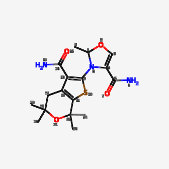 CC1OC=C(C(N)=O)N1c1sc2c(c1C(N)=O)CC(C)(C)OC2(C)C